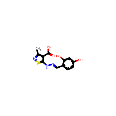 Cc1nsc(NN=Cc2ccc(O)cc2O)c1C(=O)O